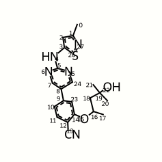 Cc1cc(Nc2ncc(-c3ccc(C#N)c(OC(C)CC(C)(C)O)c3)cn2)sn1